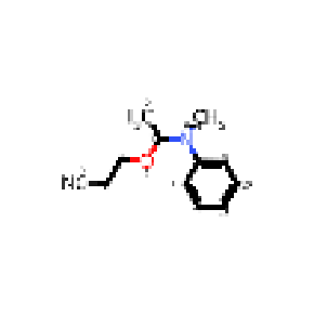 CC(OCCC#N)N(C)c1ccccc1